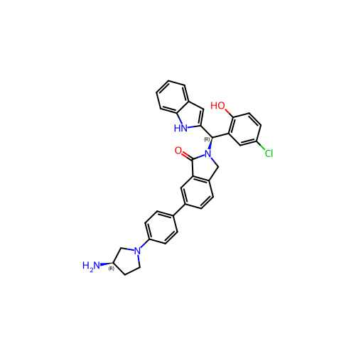 N[C@@H]1CCN(c2ccc(-c3ccc4c(c3)C(=O)N([C@@H](c3cc5ccccc5[nH]3)c3cc(Cl)ccc3O)C4)cc2)C1